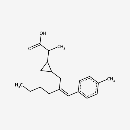 CCCCC(=Cc1ccc(C)cc1)CC1CC1C(C)C(=O)O